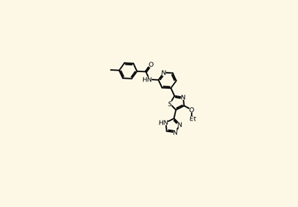 CCOc1nc(-c2ccnc(NC(=O)c3ccc(C)cc3)c2)sc1-c1nnc[nH]1